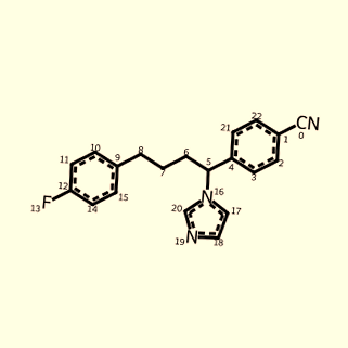 N#Cc1ccc(C(CCCc2ccc(F)cc2)n2ccnc2)cc1